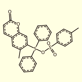 Cc1ccc(S(=O)(=O)OS(c2ccccc2)(c2ccccc2)c2cc3oc(=O)ccc3cc2C)cc1